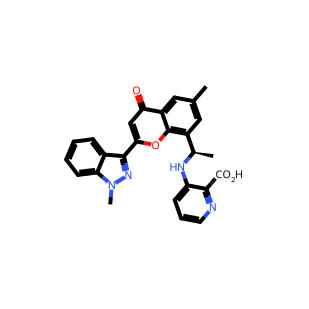 Cc1cc([C@@H](C)Nc2cccnc2C(=O)O)c2oc(-c3nn(C)c4ccccc34)cc(=O)c2c1